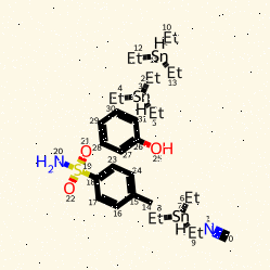 C#N.C[CH2][SnH]([CH2]C)[CH2]C.C[CH2][SnH]([CH2]C)[CH2]C.C[CH2][SnH]([CH2]C)[CH2]C.Cc1ccc(S(N)(=O)=O)cc1.Oc1ccccc1